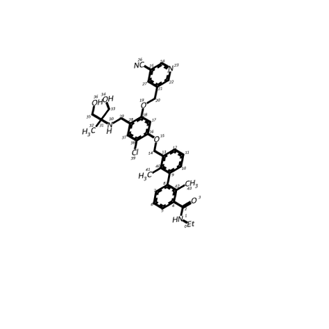 CCNC(=O)c1cccc(-c2cccc(COc3cc(OCc4cncc(C#N)c4)c(CNC(C)(CO)CO)cc3Cl)c2C)c1C